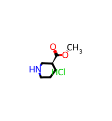 COC(=O)[C@H]1CCCNC1.Cl